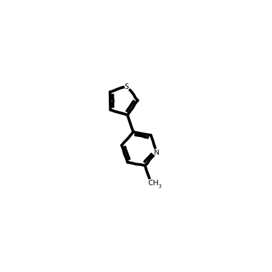 Cc1ccc(-c2ccsc2)cn1